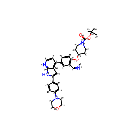 C/N=C\c1cc(-c2ccnc3[nH]c(-c4ccc(N5CCOCC5)cc4)cc23)ccc1OC1CCN(C(=O)OC(C)(C)C)CC1